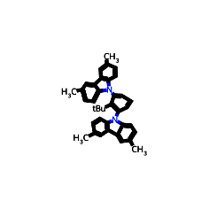 Cc1ccc2c(c1)c1cc(C)ccc1n2-c1cccc(-n2c3ccc(C)cc3c3cc(C)ccc32)c1C(C)(C)C